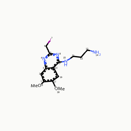 COc1cc2nc(CI)nc(NCCCN)c2cc1OC